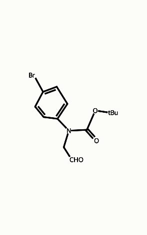 CC(C)(C)OC(=O)N(CC=O)c1ccc(Br)cc1